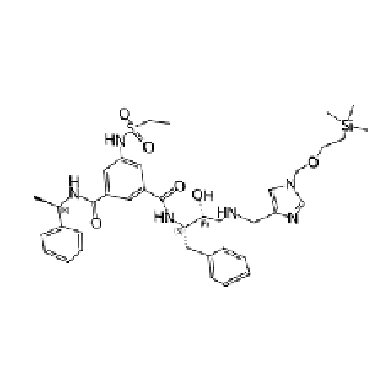 CCS(=O)(=O)Nc1cc(C(=O)N[C@@H](Cc2ccccc2)[C@H](O)CNCc2cn(COCC[Si](C)(C)C)cn2)cc(C(=O)N[C@H](C)c2ccccc2)c1